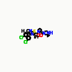 CC(C)C1=C(C(=O)N2CCC[C@H]2C(=O)N2CCNC3(CC3)C2)SC2=N[C@@](C)(c3ccc(Cl)cc3)[C@@H](c3ccc(Cl)cc3)N21